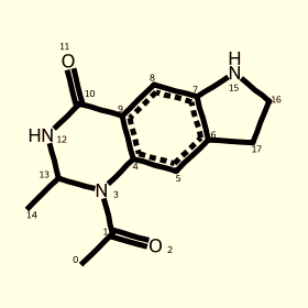 CC(=O)N1c2cc3c(cc2C(=O)NC1C)NCC3